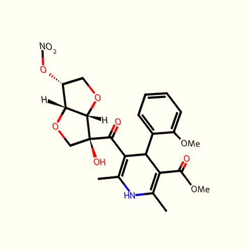 COC(=O)C1=C(C)NC(C)=C(C(=O)[C@]2(O)CO[C@@H]3[C@H](O[N+](=O)[O-])CO[C@@H]32)C1c1ccccc1OC